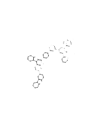 CC1C=CC=C(C2C=C(C3=CCC(C)C(c4ccc(-c5nc6c(c7c5oc5ccccc57)C=CC(c5ccc7sc8ccccc8c7c5)C6C)cc4)=C3)C=C(c3ccccn3)N2C)N1